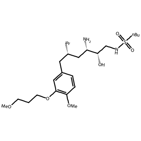 CCCCS(=O)(=O)NC[C@H](O)[C@@H](N)C[C@H](Cc1ccc(OC)c(OCCCOC)c1)C(C)C